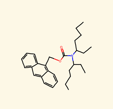 CCCCC(CC)N(C(=O)OCc1c2ccccc2cc2ccccc12)C(CC)CCCC